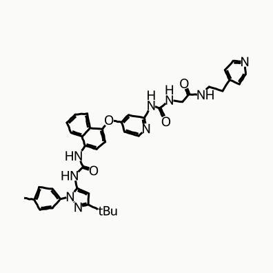 Cc1ccc(-n2nc(C(C)(C)C)cc2NC(=O)Nc2ccc(Oc3ccnc(NC(=O)NCC(=O)NCCc4ccncc4)c3)c3ccccc23)cc1